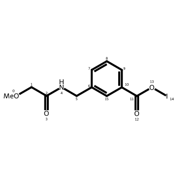 COCC(=O)NCc1cccc(C(=O)OI)c1